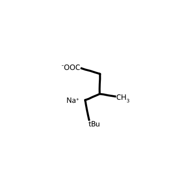 CC(CC(=O)[O-])CC(C)(C)C.[Na+]